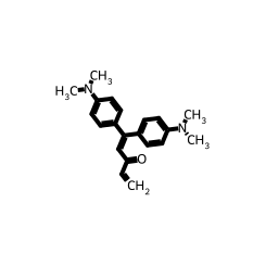 C=CC(=O)C=C(c1ccc(N(C)C)cc1)c1ccc(N(C)C)cc1